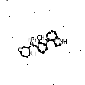 CCCN(c1cccc(-c2cccc3[nH]ccc23)c1C)C1COCCN1